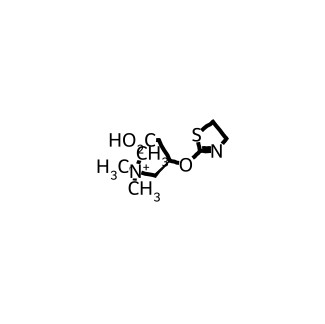 C[N+](C)(C)C[C@@H](CC(=O)O)OC1=NCCS1